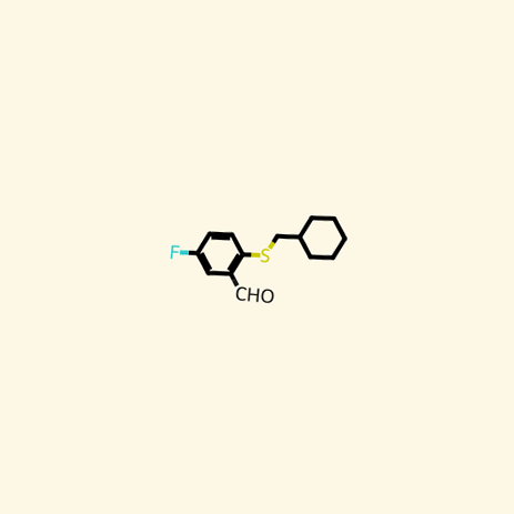 O=Cc1cc(F)ccc1SCC1CCCCC1